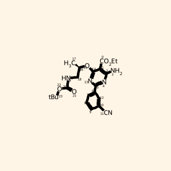 CCOC(=O)c1c(N)nc(-c2cccc(C#N)c2)nc1O[C@H](C)CNC(=O)OC(C)(C)C